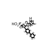 Cc1n[nH]c(C(=O)NC(Cc2ccc(-c3ccccc3)cc2)C[C@@H](O)C(=O)O)n1